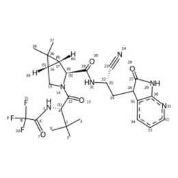 CC(C)(C)[C@H](NC(=O)C(F)(F)F)C(=O)N1C[C@H]2[C@@H]([C@H]1C(=O)N[C@H](C#N)CC1C(=O)Nc3ncccc31)C2(C)C